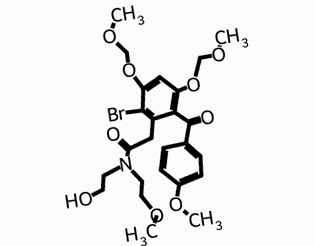 COCCN(CCO)C(=O)Cc1c(Br)c(OCOC)cc(OCOC)c1C(=O)c1ccc(OC)cc1